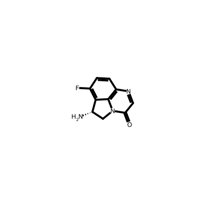 N[C@H]1Cn2c(=O)cnc3ccc(F)c1c32